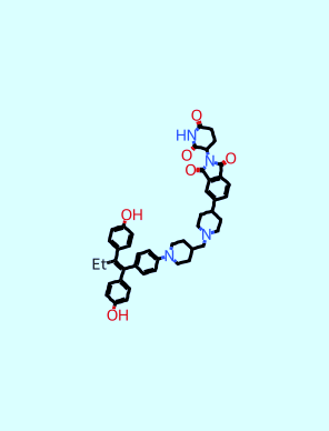 CCC(=C(c1ccc(O)cc1)c1ccc(N2CCC(CN3CCC(c4ccc5c(c4)C(=O)N(C4CCC(=O)NC4=O)C5=O)CC3)CC2)cc1)c1ccc(O)cc1